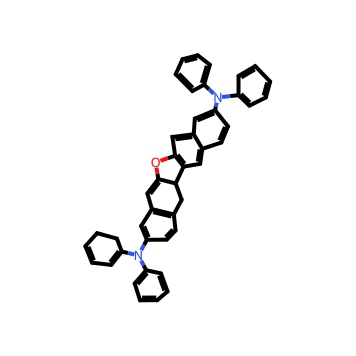 C1=CCCC(N(c2ccccc2)c2ccc3c(c2)C=C2Oc4cc5cc(N(c6ccccc6)c6ccccc6)ccc5cc4C2C3)=C1